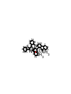 CC1(C)c2ccccc2-c2ccc3c(c21)c1ccccc1n3-c1ccccc1-c1nc(-c2ccccc2)nc2c1sc1ccccc12